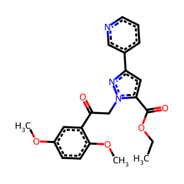 CCOC(=O)c1cc(-c2cccnc2)nn1CC(=O)c1cc(OC)ccc1OC